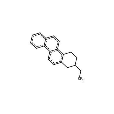 FC(F)(F)CC1CCc2c(ccc3c2ccc2ccccc23)C1